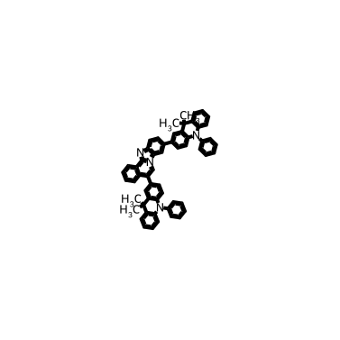 CC1(C)c2ccccc2N(c2ccccc2)c2ccc(-c3ccc4nc5c6ccccc6c(-c6ccc7c(c6)C(C)(C)c6ccccc6N7c6ccccc6)cn5c4c3)cc21